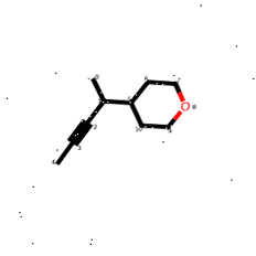 [CH2]C(C#CC)C1CCOCC1